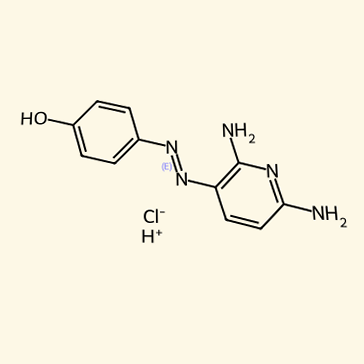 Nc1ccc(/N=N/c2ccc(O)cc2)c(N)n1.[Cl-].[H+]